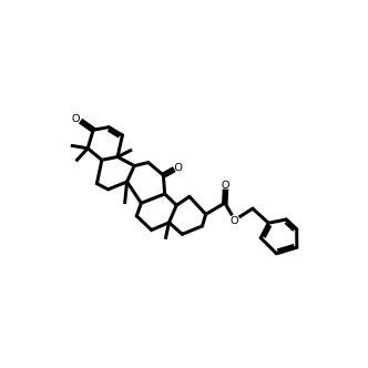 CC12CCC(C(=O)OCc3ccccc3)CC1C1C(=O)CC3C4(C)C=CC(=O)C(C)(C)C4CCC3(C)C1CC2